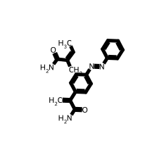 C=C(C(N)=O)c1ccc(N=Nc2ccccc2)cc1.CC=C(C)C(N)=O